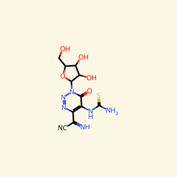 N#CC(=N)c1nnn(C2OC(CO)C(O)C2O)c(=O)c1NC(N)=S